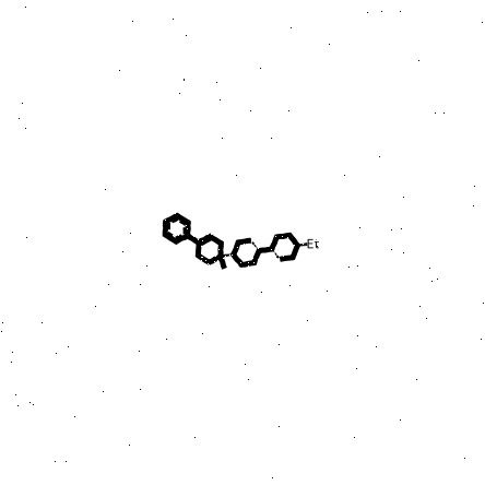 CC[C@H]1CC[C@H]([C@H]2CC[C@H](C3(C)CC=C(c4ccccc4)CC3)CC2)CC1